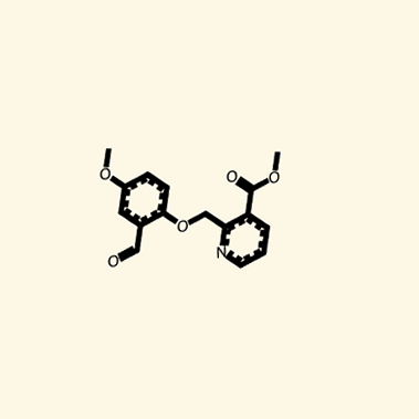 COC(=O)c1cccnc1COc1ccc(OC)cc1C=O